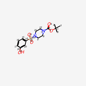 CC(C)(C)OC(=O)N1CCN(S(=O)(=O)c2cccc(O)c2)CC1